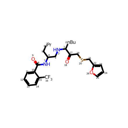 CCCCC(NCC(CC(C)C)NC(=O)c1ccccc1C(F)(F)F)C(=O)CSCc1ccco1